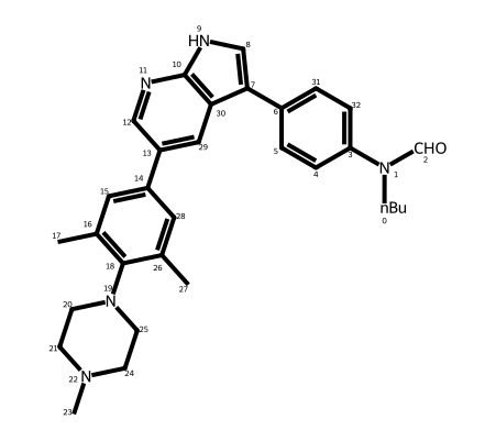 CCCCN(C=O)c1ccc(-c2c[nH]c3ncc(-c4cc(C)c(N5CCN(C)CC5)c(C)c4)cc23)cc1